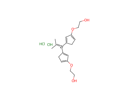 C[C](C)=[Zr]([C]1=CC(OCCO)=CC1)[C]1=CC(OCCO)=CC1.Cl.Cl